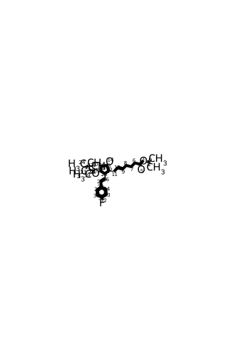 CC(C)OC(=O)CCCC=CC[C@H]1C(=O)C[C@@H](O[Si](C)(C)C(C)(C)C)[C@@H]1C=Cc1ccc(F)cc1